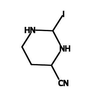 N#CC1CCNC(I)N1